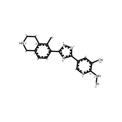 Cc1c(-c2noc(-c3cnc(NC(C)C)c(C#N)c3)n2)ccc2c1CCNC2